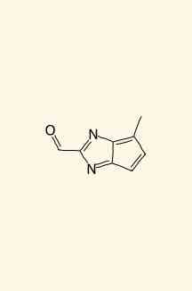 CC1=C2N=C(C=O)N=C2C=C1